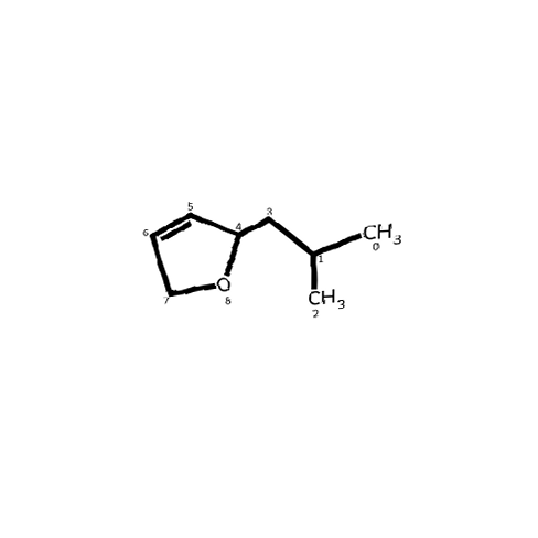 CC(C)CC1C=CCO1